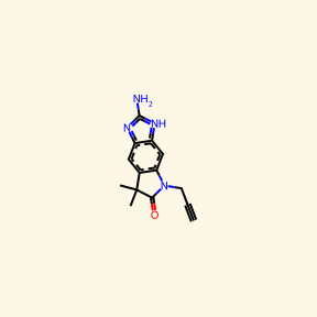 C#CCN1C(=O)C(C)(C)c2cc3nc(N)[nH]c3cc21